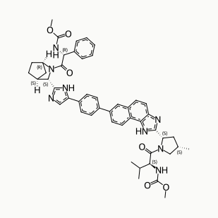 COC(=O)N[C@H](C(=O)N1C[C@@H](C)C[C@H]1c1nc2ccc3cc(-c4ccc(-c5cnc([C@@H]6[C@H]7CC[C@H](C7)N6C(=O)[C@H](NC(=O)OC)c6ccccc6)[nH]5)cc4)ccc3c2[nH]1)C(C)C